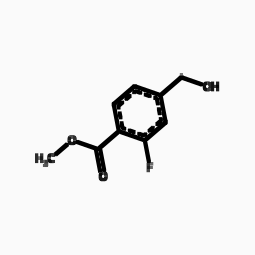 COC(=O)c1ccc([CH]O)cc1F